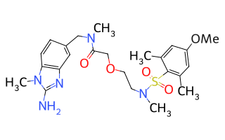 COc1cc(C)c(S(=O)(=O)N(C)CCOCC(=O)N(C)Cc2ccc3c(c2)nc(N)n3C)c(C)c1